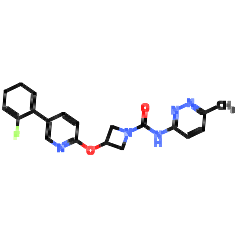 Cc1ccc(NC(=O)N2CC(Oc3ccc(C4=CCCC=C4F)cn3)C2)nn1